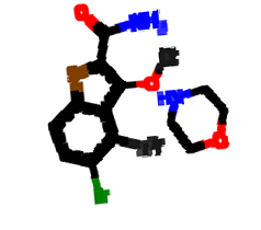 C1COCCN1.CCCc1c(Br)ccc2sc(C(N)=O)c(OCC)c12